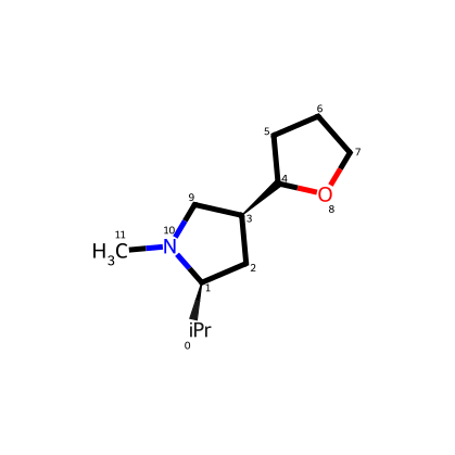 CC(C)[C@@H]1C[C@H](C2CCCO2)CN1C